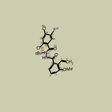 C=Cc1c(OC)cccc1C(=O)NN(C(=O)c1cc(F)c(Cl)cc1Cl)C(C)(C)C